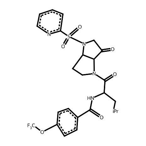 CC(C)CC(NC(=O)c1ccc(OC(F)(F)F)cc1)C(=O)N1CCC2C1C(=O)CN2S(=O)(=O)c1ccccn1